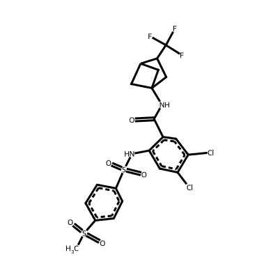 CS(=O)(=O)c1ccc(S(=O)(=O)Nc2cc(Cl)c(Cl)cc2C(=O)NC23CC(C2)C(C(F)(F)F)C3)cc1